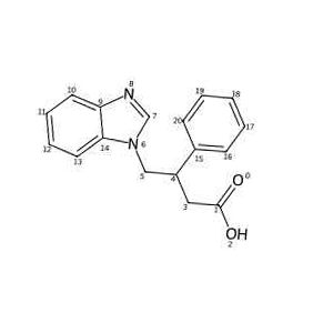 O=C(O)CC(Cn1cnc2ccccc21)c1ccccc1